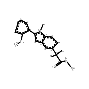 Cn1c(-c2ccccc2OC(F)(F)F)cc2cc(C(C)(C)C(=O)NC(C)(C)C)ccc21